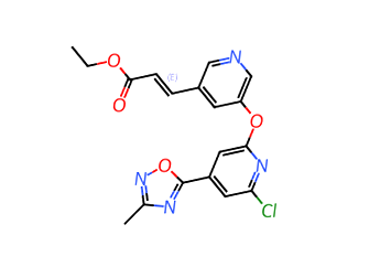 CCOC(=O)/C=C/c1cncc(Oc2cc(-c3nc(C)no3)cc(Cl)n2)c1